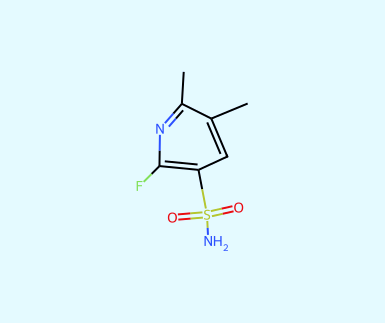 Cc1cc(S(N)(=O)=O)c(F)nc1C